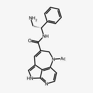 CC(=O)N1CC(C(=O)N[C@H](CN)c2ccccc2)=Cc2c[nH]c3nccc1c23